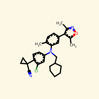 Cc1ccc(-c2c(C)noc2C)cc1N(CC1CCCCC1)c1ccc(C2(C#N)CC2)c(Cl)c1